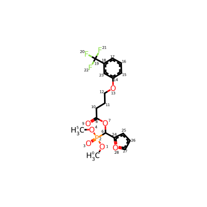 COP(=O)(OC)C(OC(=O)CCCOc1cccc(C(F)(F)F)c1)c1ccco1